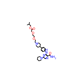 CC(C)COC(=O)COCCOCCN1CCC(c2ccc(Nc3nc(N4CCCCC4)cnc3C(N)=O)cc2)CC1